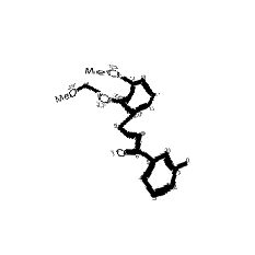 [CH2]c1cccc(C(=O)C=Cc2cccc(OC)c2OCOC)c1